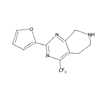 FC(F)(F)c1nc(-c2ccco2)nc2c1CCNC2